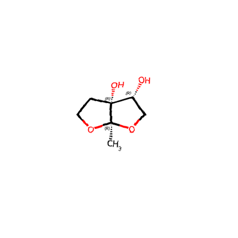 C[C@]12OCC[C@@]1(O)[C@H](O)CO2